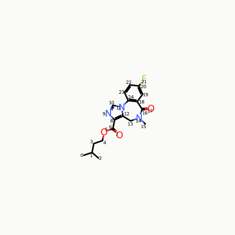 CC(C)CCOC(=O)c1ncn2c1CN(C)C(=O)c1cc(F)ccc1-2